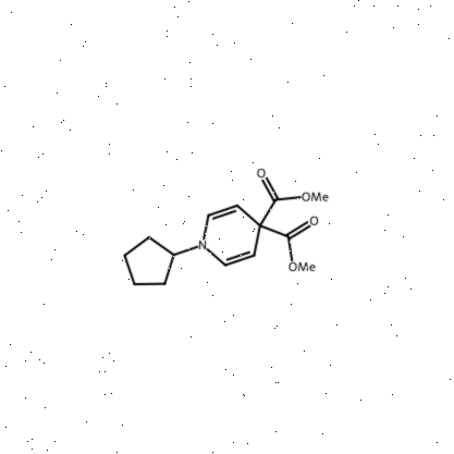 COC(=O)C1(C(=O)OC)C=CN(C2CCCC2)C=C1